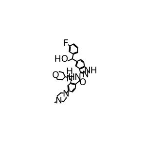 CN1CCN(c2ccc(C(=O)Nc3n[nH]c4ccc(C(CO)c5cccc(F)c5)cc34)c(NC3CCOCC3)c2)CC1